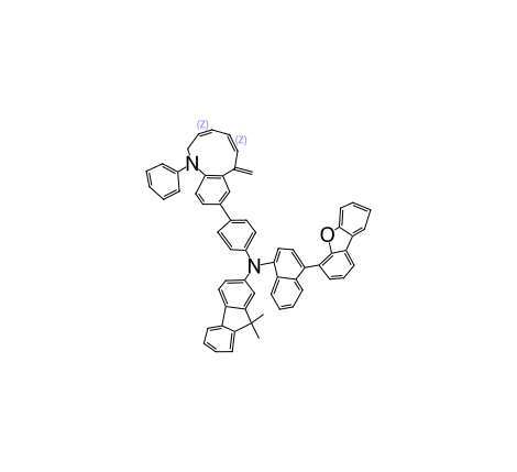 C=C1/C=C\C=C/CN(c2ccccc2)c2ccc(-c3ccc(N(c4ccc5c(c4)C(C)(C)c4ccccc4-5)c4ccc(-c5cccc6c5oc5ccccc56)c5ccccc45)cc3)cc21